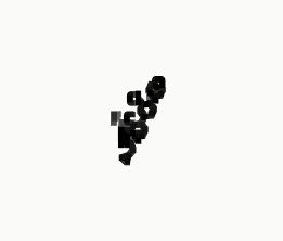 FC(F)(F)c1c(-c2ccc(N3CCOCC3)c(Cl)c2)ccn2c(CC3CC3)nnc12